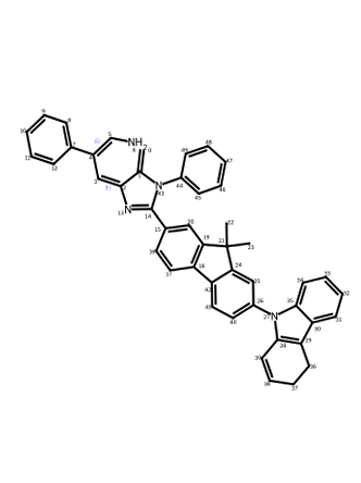 C=c1/c(=C\C(=C/N)c2ccccc2)nc(-c2ccc3c(c2)C(C)(C)c2cc(-n4c5c(c6ccccc64)CCC=C5)ccc2-3)n1-c1ccccc1